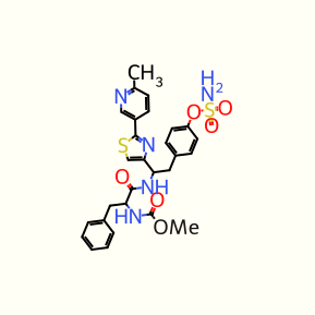 COC(=O)NC(Cc1ccccc1)C(=O)NC(Cc1ccc(OS(N)(=O)=O)cc1)c1csc(-c2ccc(C)nc2)n1